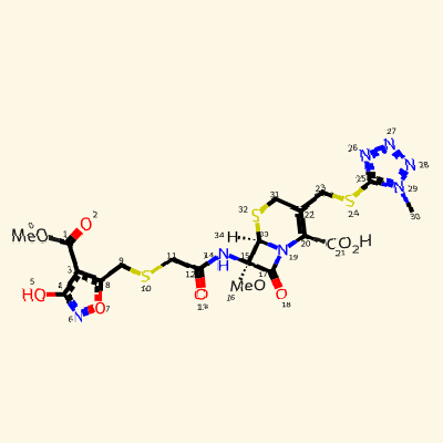 COC(=O)c1c(O)noc1CSCC(=O)N[C@]1(OC)C(=O)N2C(C(=O)O)=C(CSc3nnnn3C)CS[C@@H]21